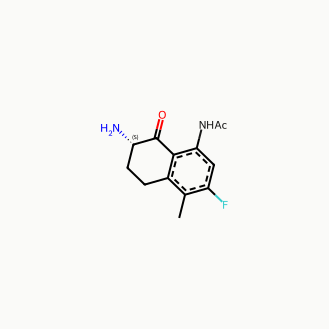 CC(=O)Nc1cc(F)c(C)c2c1C(=O)[C@@H](N)CC2